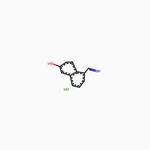 Cl.N=Cc1cccc2cc(O)ccc12